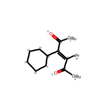 CC(C)COC(=O)C(=C(C(=O)OCC(C)C)C1CCCCC1)C(C)C